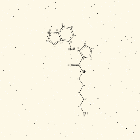 O=C(NCCCCCO)c1sccc1Nc1ccnc2[nH]ccc12